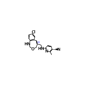 Cc1nc(NC/C2=C/c3cc(Cl)ccc3NCOC2)ccc1C#N